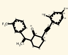 C=C(c1cccc(C(F)(F)F)c1)C1CCC=C(C#Cc2ccc(F)cc2F)C1=O